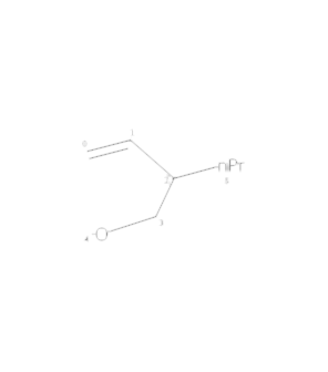 C=CC(C[O])CCC